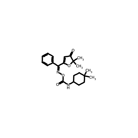 CC1(C)CCC(NC(=O)ON=C(C2=CC(=O)C(C)(C)O2)c2ccccc2)CC1